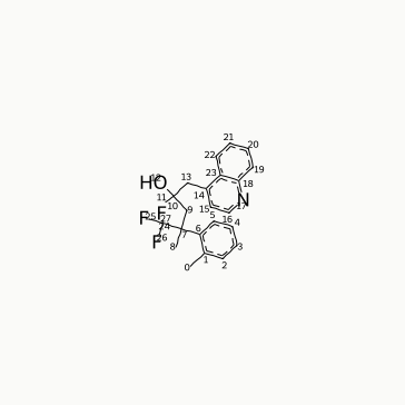 Cc1ccccc1C(C)(CC(C)(O)Cc1ccnc2ccccc12)C(F)(F)F